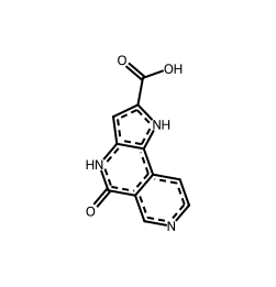 O=C(O)c1cc2[nH]c(=O)c3cnccc3c2[nH]1